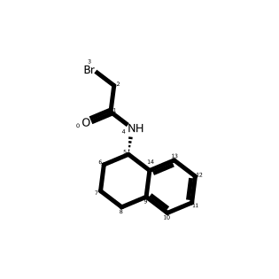 O=C(CBr)N[C@H]1CCCc2ccccc21